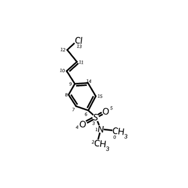 CN(C)S(=O)(=O)c1ccc(/C=C/CCl)cc1